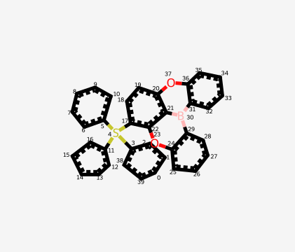 c1ccc(S(c2ccccc2)(c2ccccc2)c2ccc3c4c2Oc2ccccc2B4c2ccccc2O3)cc1